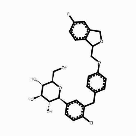 OC[C@H]1O[C@@H](c2ccc(Cl)c(Cc3ccc(OCC4OCc5cc(F)ccc54)cc3)c2)[C@H](O)[C@@H](O)[C@@H]1O